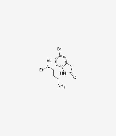 CCN(CC)CCCN.O=C1Cc2cc(Br)ccc2N1